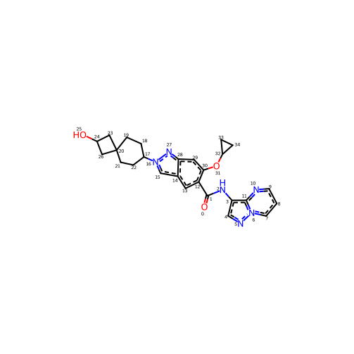 O=C(Nc1cnn2cccnc12)c1cc2cn(C3CCC4(CC3)CC(O)C4)nc2cc1OC1CC1